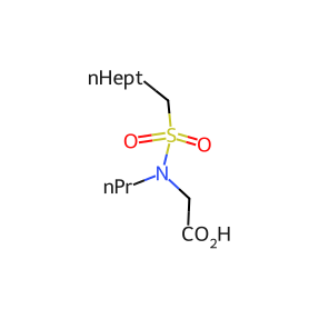 CCCCCCCCS(=O)(=O)N(CCC)CC(=O)O